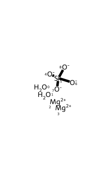 O.O.[Mg+2].[Mg+2].[O-][Si]([O-])([O-])[O-]